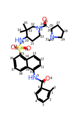 Cc1ccccc1C(=O)Nc1cccc2c(S(=O)(=O)NC3CCN(C(=O)[C@@H]4CCCN4C)CC3(C)C)cccc12